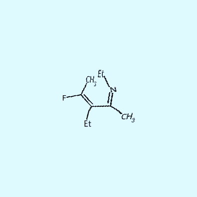 CC/N=C(C)\C(CC)=C(/C)F